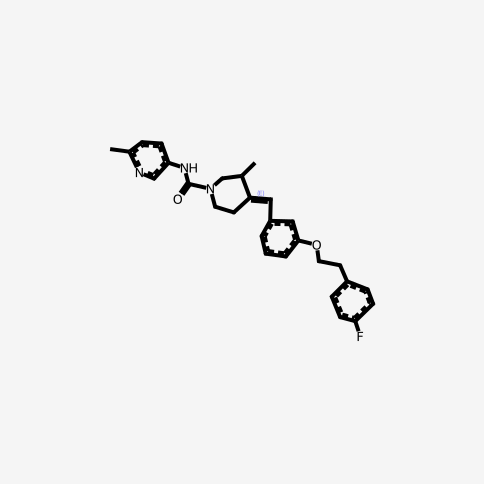 Cc1ccc(NC(=O)N2CC/C(=C\c3cccc(OCCc4ccc(F)cc4)c3)C(C)C2)cn1